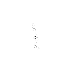 O=C1COc2ccc(CNC(=O)c3ncnc4c(C(=O)NCc5ccc(CN6CCOCC6)cc5)c[nH]c34)cc2N1